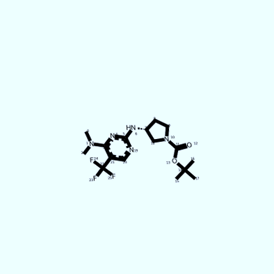 CN(C)c1nc(N[C@@H]2CCN(C(=O)OC(C)(C)C)C2)ncc1C(F)(F)F